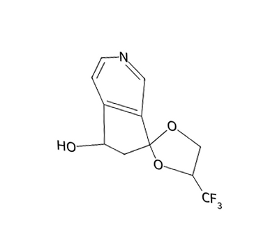 OC1CC2(OCC(C(F)(F)F)O2)c2cnccc21